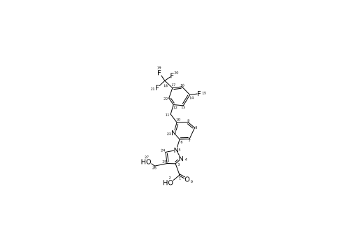 O=C(O)c1nn(-c2cccc(Cc3cc(F)cc(C(F)(F)F)c3)n2)cc1CO